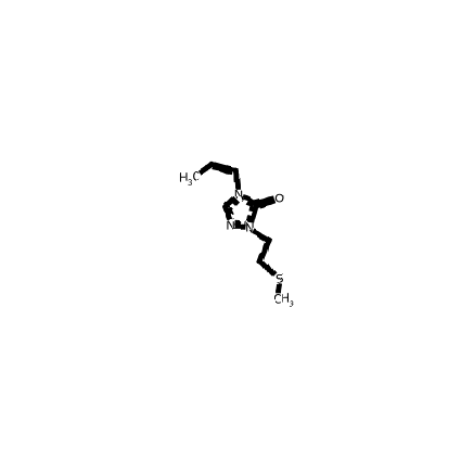 C/C=C\n1cnn(CCSC)c1=O